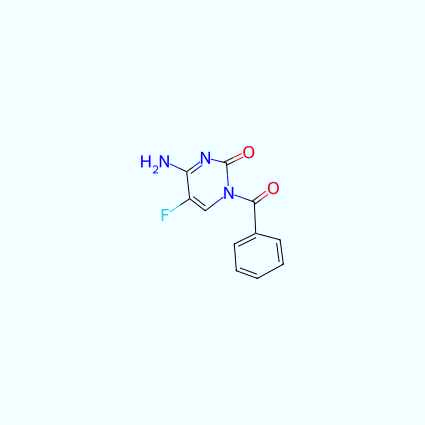 Nc1nc(=O)n(C(=O)c2ccccc2)cc1F